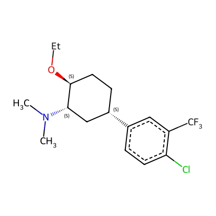 CCO[C@H]1CC[C@H](c2ccc(Cl)c(C(F)(F)F)c2)C[C@@H]1N(C)C